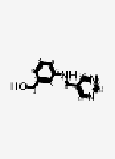 OCc1cccc(NCc2cncnc2)c1